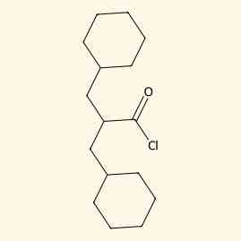 O=C(Cl)C(CC1CCCCC1)CC1CCCCC1